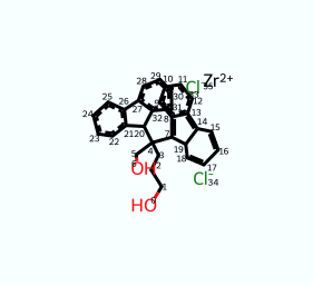 OCCCC(CO)(C1=c2ccccc2=C2C=CC=CC21)C1c2ccccc2-c2ccccc21.[Cl-].[Cl-].[Zr+2]